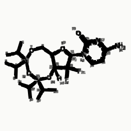 CC(C)[Si]1(C(C)C)OCC2O[C@@H](n3ccc(N)nc3=O)C(F)(F)[C@@H]2O[Si](C(C)C)(C(C)C)O1